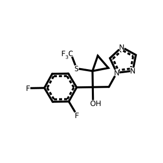 OC(Cn1cncn1)(c1ccc(F)cc1F)C1(SC(F)(F)F)CC1